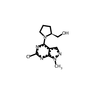 Cn1ncc2c(N3CCC[C@H]3CO)nc(Cl)nc21